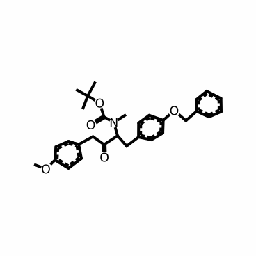 COc1ccc(CC(=O)C(Cc2ccc(OCc3ccccc3)cc2)N(C)C(=O)OC(C)(C)C)cc1